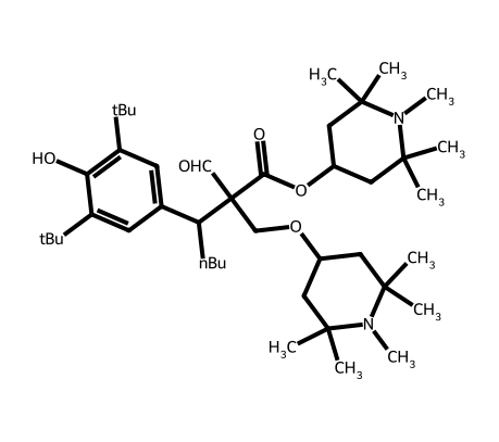 CCCCC(c1cc(C(C)(C)C)c(O)c(C(C)(C)C)c1)C(C=O)(COC1CC(C)(C)N(C)C(C)(C)C1)C(=O)OC1CC(C)(C)N(C)C(C)(C)C1